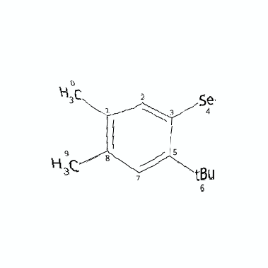 Cc1cc([Se])c(C(C)(C)C)cc1C